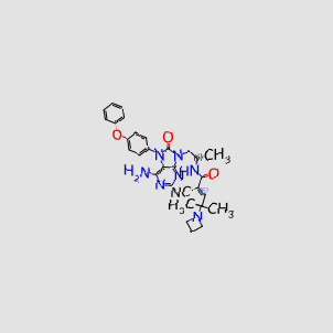 C[C@@H](Cn1c(=O)n(-c2ccc(Oc3ccccc3)cc2)c2c(N)ncnc21)NC(=O)/C(C#N)=C/C(C)(C)N1CCC1